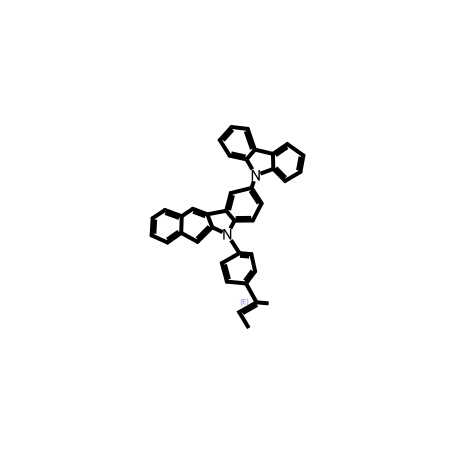 C/C=C(\C)c1ccc(-n2c3ccc(-n4c5ccccc5c5ccccc54)cc3c3cc4ccccc4cc32)cc1